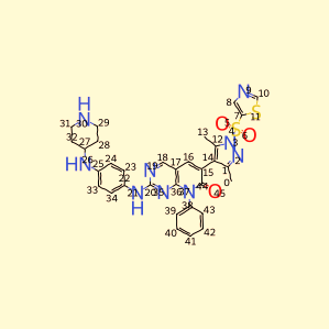 Cc1nn(S(=O)(=O)c2cncs2)c(C)c1-c1cc2cnc(Nc3ccc(NC4CCNCC4)cc3)nc2n(-c2ccccc2)c1=O